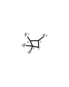 FC1[CH]C(F)(F)C1F